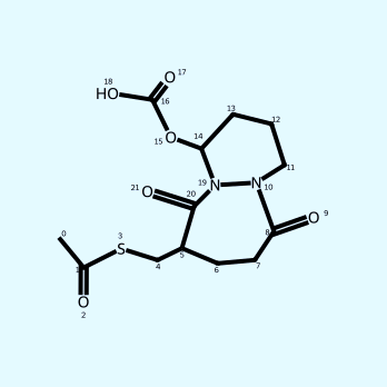 CC(=O)SCC1CCC(=O)N2CCCC(OC(=O)O)N2C1=O